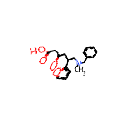 CN(Cc1ccccc1)CC(CC(=O)CC(=O)O)c1ccco1